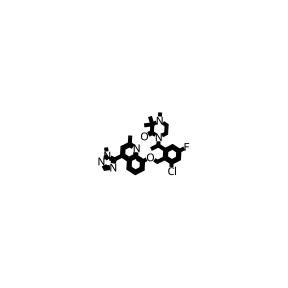 Cc1cc(-c2ncnn2C)c2cccc(OCc3c(Cl)cc(F)cc3C(C)N3CCN(C)C(C)(C)C3=O)c2n1